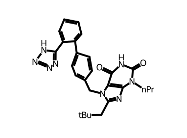 CCCn1c(=O)[nH]c(=O)c2c1nc(CC(C)(C)C)n2Cc1ccc(-c2ccccc2-c2nnn[nH]2)cc1